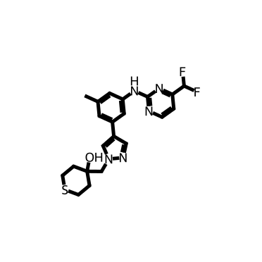 Cc1cc(Nc2nccc(C(F)F)n2)cc(-c2cnn(CC3(O)CCSCC3)c2)c1